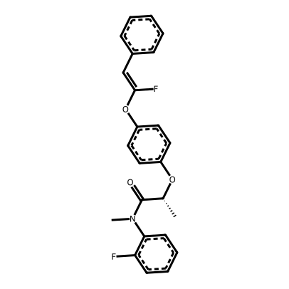 C[C@@H](Oc1ccc(OC(F)=Cc2ccccc2)cc1)C(=O)N(C)c1ccccc1F